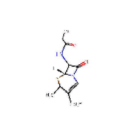 CC1S[C@@H]2C(NC(=O)CC#N)C(=O)N2C=C1C(=O)O